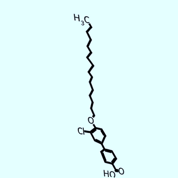 CCCCCCCCCCCCCCCCOc1ccc(-c2ccc(C(=O)O)cc2)cc1Cl